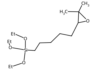 CCO[Si](CCCCCC1OC1(C)C)(OCC)OCC